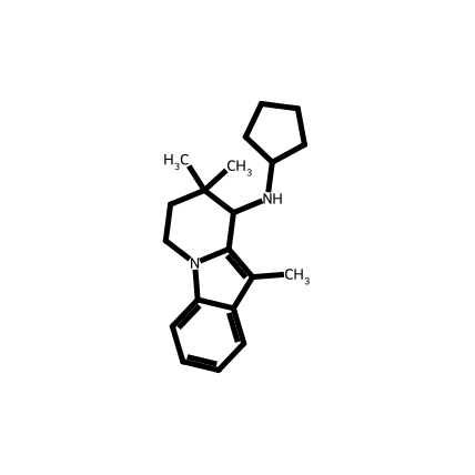 Cc1c2n(c3ccccc13)CCC(C)(C)C2NC1CCCC1